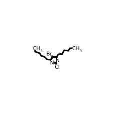 CCCCCCc1nc(Cl)nc(CCCCCC)c1Br